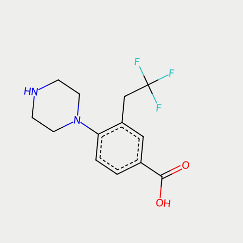 O=C(O)c1ccc(N2CCNCC2)c(CC(F)(F)F)c1